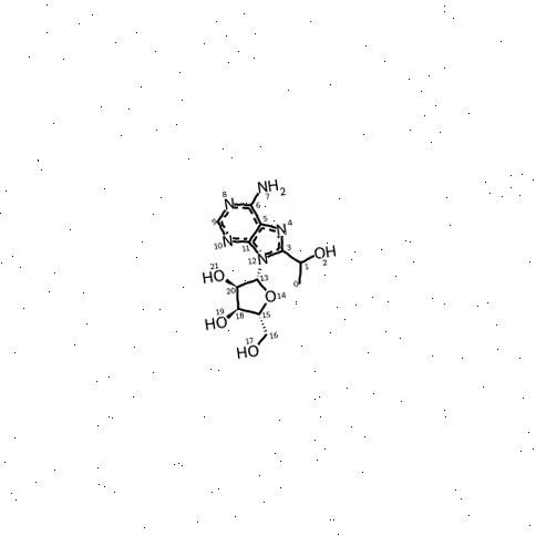 CC(O)c1nc2c(N)ncnc2n1[C@@H]1O[C@H](CO)[C@@H](O)[C@H]1O